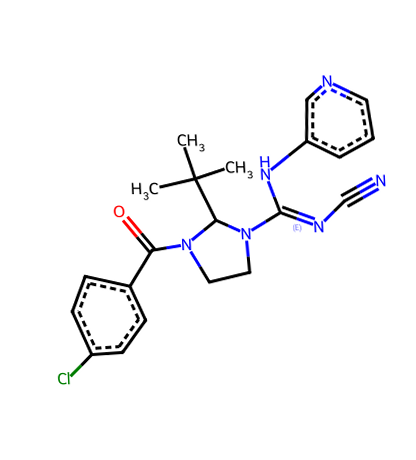 CC(C)(C)C1N(C(=O)c2ccc(Cl)cc2)CCN1/C(=N/C#N)Nc1cccnc1